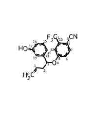 C=CCC(Oc1ccc(C#N)c(C(F)(F)F)c1)c1cccc(O)c1